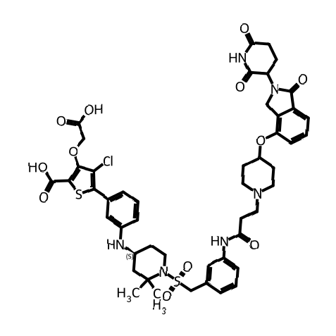 CC1(C)C[C@@H](Nc2cccc(-c3sc(C(=O)O)c(OCC(=O)O)c3Cl)c2)CCN1S(=O)(=O)Cc1cccc(NC(=O)CCN2CCC(Oc3cccc4c3CN(C3CCC(=O)NC3=O)C4=O)CC2)c1